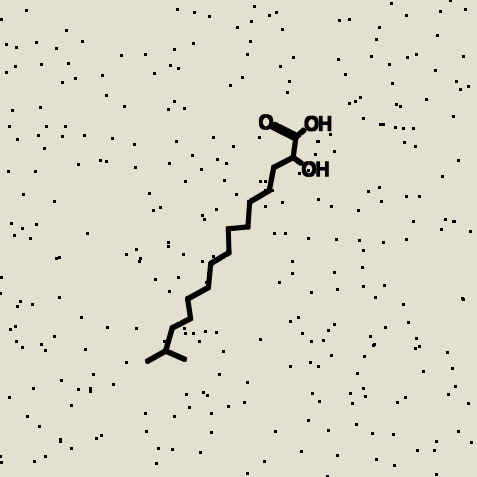 CC(C)CCCCCCCCCCCC(O)C(=O)O